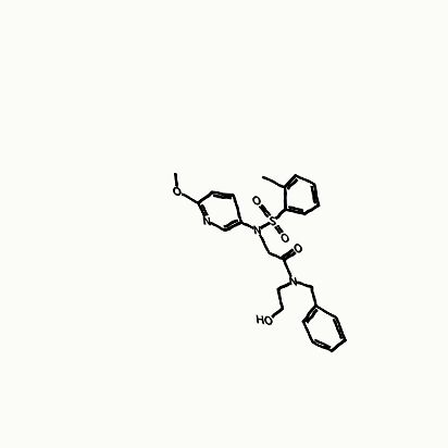 COc1ccc(N(CC(=O)N(CCO)Cc2ccccc2)S(=O)(=O)c2ccccc2C)cn1